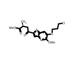 COC(=O)[C@@H](C)CC(=O)c1cc2nc(OC)c(OCCCCl)cc2s1